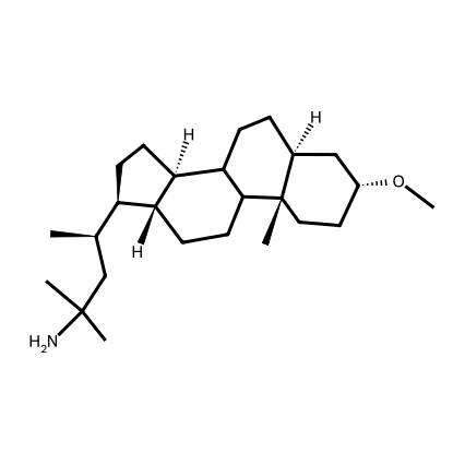 CO[C@@H]1CC[C@]2(C)C3CC[C@@H]4[C@@H]([C@H](C)CC(C)(C)N)CC[C@H]4C3CC[C@H]2C1